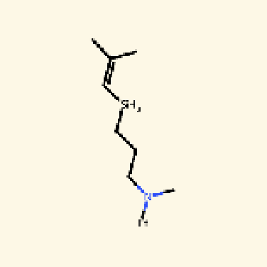 CCN(C)CCC[SiH2]C=C(C)C